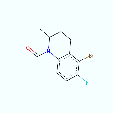 CC1CCc2c(ccc(F)c2Br)N1C=O